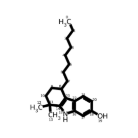 CCCCCCCCC1CCC(C)(C)c2[nH]c3cc(O)ccc3c21